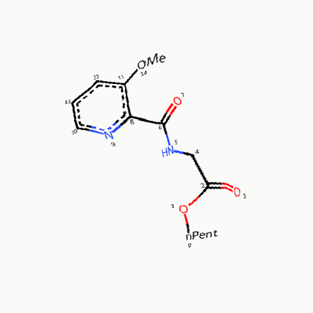 CCCCCOC(=O)CNC(=O)c1ncccc1OC